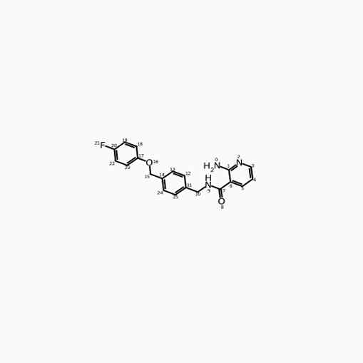 Nc1ncccc1C(=O)NCc1ccc(COc2ccc(F)cc2)cc1